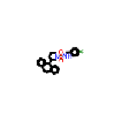 O=S(=O)(NCc1ccc(F)cc1)N1CCCC(C2c3ccccc3CCc3ccccc32)C1